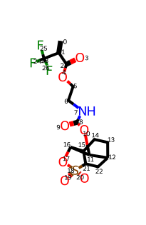 C=C(C(=O)OCCNC(=O)OC1C2CCC3C1OS(=O)(=O)C3C2)C(F)(F)F